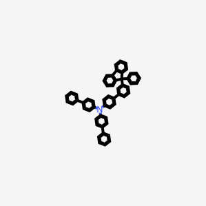 c1ccc(-c2ccc(N(c3ccc(-c4ccccc4)cc3)c3ccc(-c4cccc(C5(c6ccccc6)c6ccccc6-c6ccccc65)c4)cc3)cc2)cc1